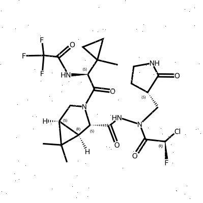 CC1([C@H](NC(=O)C(F)(F)F)C(=O)N2C[C@H]3[C@@H]([C@H]2C(=O)NN(C[C@@H]2CCNC2=O)C(=O)[C@H](F)Cl)C3(C)C)CC1